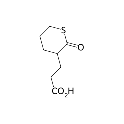 O=C(O)CCC1CCCSC1=O